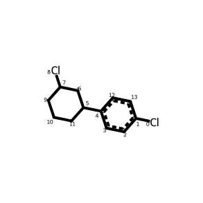 Clc1ccc(C2[CH]C(Cl)CCC2)cc1